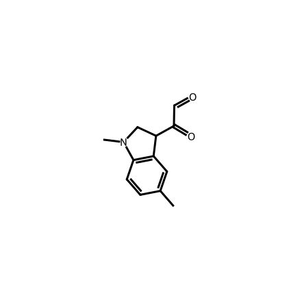 Cc1ccc2c(c1)C(C(=O)C=O)CN2C